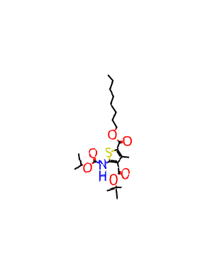 CCCCCCCCOC(=O)c1sc(NC(=O)OC(C)C)c(C(=O)OC(C)(C)C)c1C